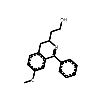 COc1ccc2c(c1)C(c1ccccc1)=NC(CCO)C2